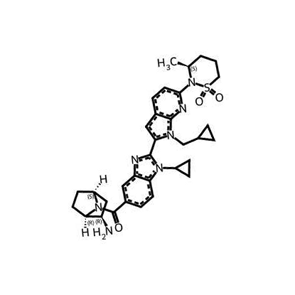 C[C@H]1CCCS(=O)(=O)N1c1ccc2cc(-c3nc4cc(C(=O)N5[C@H]6CC[C@@H]5[C@H](N)C6)ccc4n3C3CC3)n(CC3CC3)c2n1